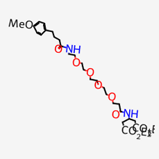 CCOC(=O)CC(CC(=O)OCC)NC(=O)CCOCCOCCOCCOCCNC(=O)CCCc1ccc(OC)cc1